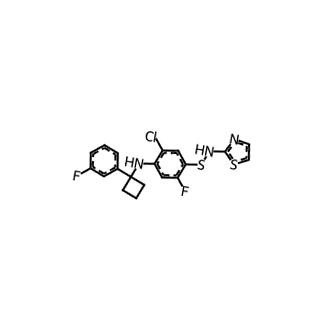 Fc1cccc(C2(Nc3cc(F)c(SNc4nccs4)cc3Cl)CCC2)c1